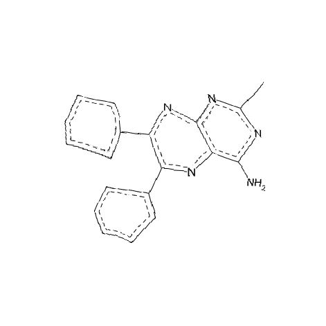 Cc1nc(N)c2nc(-c3ccccc3)c(-c3ccccc3)nc2n1